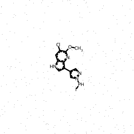 COc1nc2c(-c3cnn(PI)c3)c[nH]c2cc1Cl